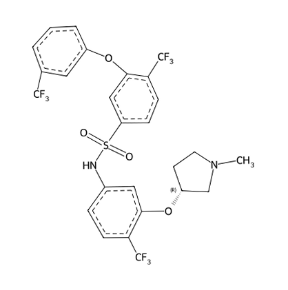 CN1CC[C@@H](Oc2cc(NS(=O)(=O)c3ccc(C(F)(F)F)c(Oc4cccc(C(F)(F)F)c4)c3)ccc2C(F)(F)F)C1